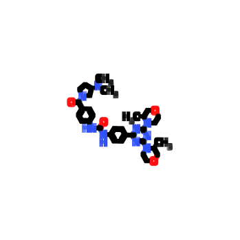 C[C@H]1COCCN1c1nc(-c2ccc(NC(=O)Nc3ccc(C(=O)N4CC[C@H](N(C)C)C4)cc3)cc2)nc(N2CCOC[C@@H]2C)n1